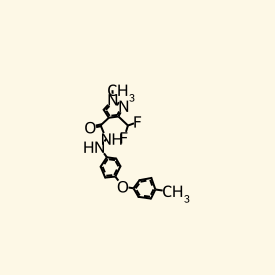 Cc1ccc(Oc2ccc(NNC(=O)c3cn(C)nc3C(F)F)cc2)cc1